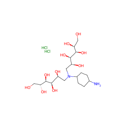 Cl.Cl.NC1CCC(N(C[C@H](O)[C@@H](O)[C@H](O)[C@H](O)CO)C[C@H](O)[C@@H](O)[C@H](O)[C@@H](O)CO)CC1